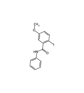 COc1ccc(I)c(C(=O)Nc2ccccc2)c1